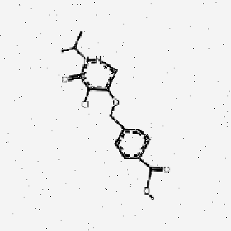 COC(=O)c1ccc(COc2cnn(C(C)C)c(=O)c2Cl)cc1